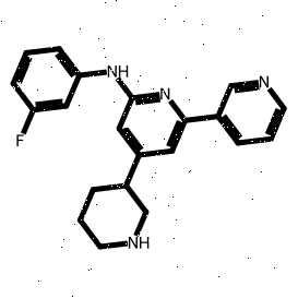 Fc1cccc(Nc2cc(C3CCCNC3)cc(-c3cccnc3)n2)c1